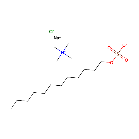 CCCCCCCCCCCCOS(=O)(=O)[O-].C[N+](C)(C)C.[Cl-].[Na+]